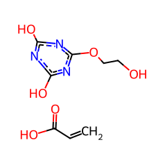 C=CC(=O)O.OCCOc1nc(O)nc(O)n1